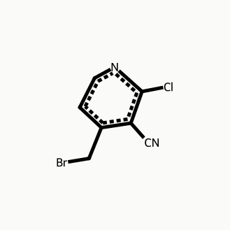 N#Cc1c(CBr)ccnc1Cl